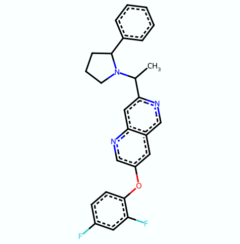 CC(c1cc2ncc(Oc3ccc(F)cc3F)cc2cn1)N1CCCC1c1ccccc1